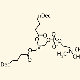 CCCCCCCCCCCCCC(=O)OC[C@@H](COP(=O)([O-])OCC[N+](C)(C)C)OC(=O)CCCCCCCCCCCCC